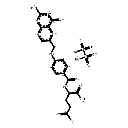 Nc1nc2ncc(CNc3ccc(C(=O)NC(CCC(=O)O)C(=O)O)cc3)nc2c(=O)[nH]1.O=S(=O)(O)S(=O)(=O)O